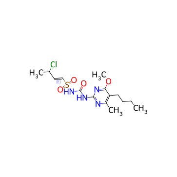 CCCCc1c(C)nc(NC(=O)NS(=O)(=O)/C=C/C(C)Cl)nc1OC